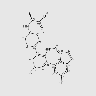 C[C@H](NC1CC=C(C2=C3NN=C4C=Cc5cc(F)cc(c54)C3=CN(C)C2)CC1)C(=O)O